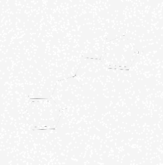 O=C(Cc1ccccc1)Nc1cc[c]cc1